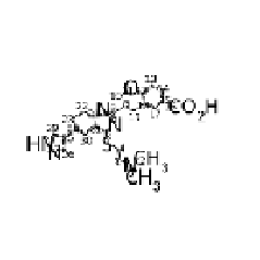 CN(C)CCSc1nc(C2COc3ccc(C(=O)O)cc3C2)nc2ccc(-c3cn[nH]c3)cc12